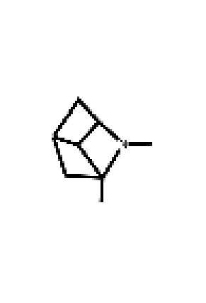 CN1C2CC3CC1(C)C32